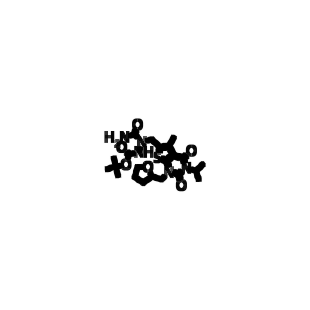 Cc1c(CN(NC(=O)OC(C)(C)C)C(N)=O)sc2c1c(=O)n(C(C)C)c(=O)n2CC1CCCO1